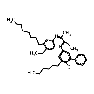 CCCCCCCCc1cc(N=C(C)C(CC)=Nc2cc(CCCCCC)c(C)c(-c3ccccc3)c2)ccc1CC